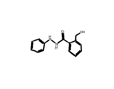 O=C(NNc1ccccc1)c1ccccc1CO